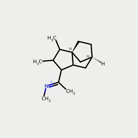 C/N=C(\C)C1C(C)C(C)[C@@]23CC[C@@H](CC12)C3